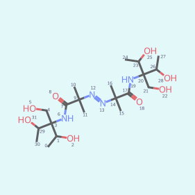 CC(O)C(CO)(NC(=O)C(C)(C)/N=N/C(C)(C)C(=O)NC(CO)(C(C)O)C(C)O)C(C)O